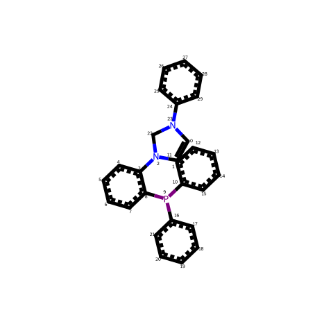 C1=CN(c2ccccc2P(c2ccccc2)c2ccccc2)CN1c1ccccc1